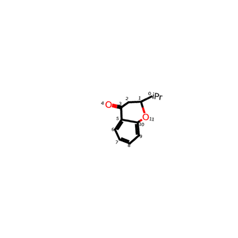 CC(C)C1CC(=O)c2ccccc2O1